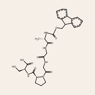 C[C@H](NC(=O)OCC1c2ccccc2-c2ccccc21)C(=O)NCC(=O)NCC(=O)N1CCC[C@H]1C(=O)N[C@@H](CO)C(=O)O